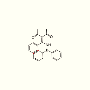 CC(=O)C(C(C)=O)=C(NB(c1ccccc1)c1ccccc1)c1ccccc1